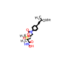 COC(C)C#Cc1ccc(N2C[C@H](CC(C)(C(=O)NO)S(C)(=O)=O)OC2=O)cc1